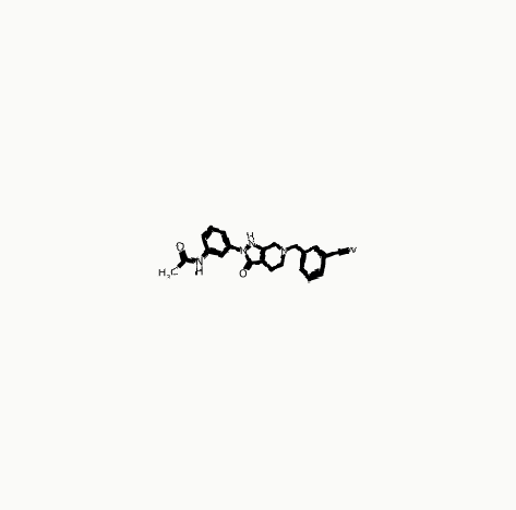 CC(=O)Nc1cccc(-n2[nH]c3c(c2=O)CCN(Cc2cccc(C#N)c2)C3)c1